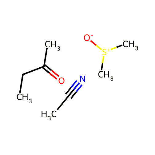 CC#N.CCC(C)=O.C[S+](C)[O-]